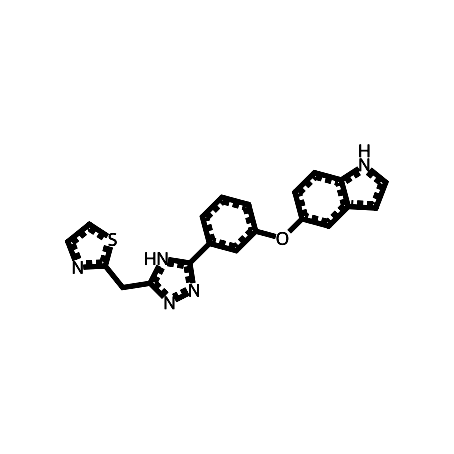 c1cc(Oc2ccc3[nH]ccc3c2)cc(-c2nnc(Cc3nccs3)[nH]2)c1